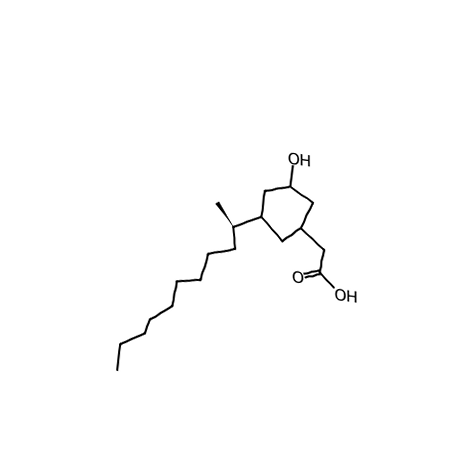 CCCCCCCCC[C@@H](C)C1CC(O)CC(CC(=O)O)C1